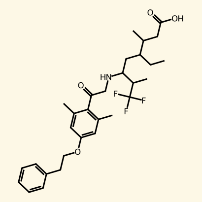 CCC(CC(NCC(=O)c1c(C)cc(OCCc2ccccc2)cc1C)C(C)C(F)(F)F)C(C)CC(=O)O